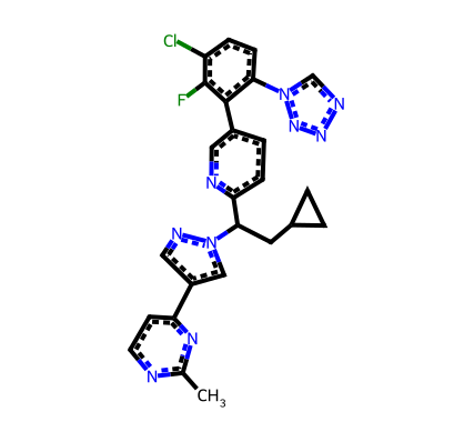 Cc1nccc(-c2cnn(C(CC3CC3)c3ccc(-c4c(-n5cnnn5)ccc(Cl)c4F)cn3)c2)n1